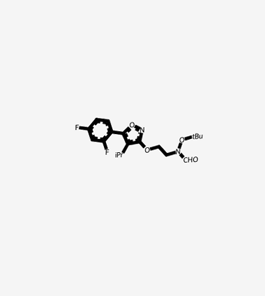 CC(C)c1c(OCCN(C=O)OC(C)(C)C)noc1-c1ccc(F)cc1F